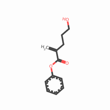 C=C(CCCO)C(=O)Oc1ccccc1